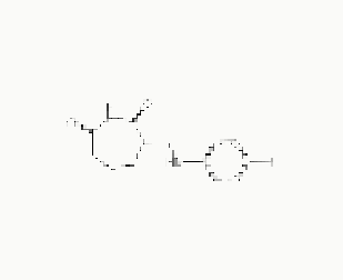 O=C1CCCC(CNc2ccc(F)cc2)C(=O)N1